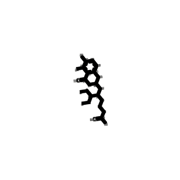 CCC(CC)C(CCCC(C)=O)CC1CC(=O)c2c(ccc(C)c2C)C1